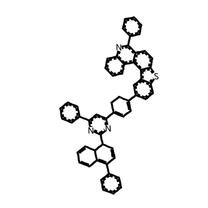 C1=CC2=C(c3ccccc3)C=CC(c3nc(C4=CC=C(c5ccc6sc7ccc8c(-c9ccccc9)nc9ccccc9c8c7c6c5)CC4)cc(-c4ccccc4)n3)C2C=C1